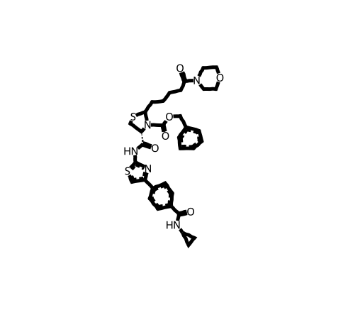 O=C(NC1CC1)c1ccc(-c2csc(NC(=O)[C@@H]3CSC(CCCCC(=O)N4CCOCC4)N3C(=O)OCc3ccccc3)n2)cc1